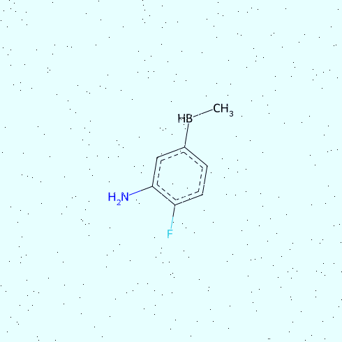 CBc1ccc(F)c(N)c1